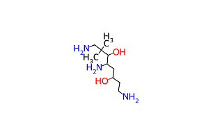 CC(C)(CN)C(O)C(N)CC(O)CCN